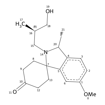 COc1ccc2c(c1)C1(CCC(=O)CC1)N(C[C@@H](C)CO)C2F